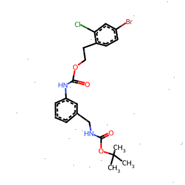 CC(C)(C)OC(=O)NCc1cccc(NC(=O)OCCc2ccc(Br)cc2Cl)c1